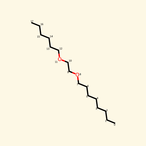 CCCCCCCCOCCOCCCCCC